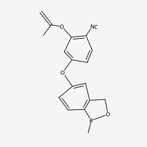 [C-]#[N+]c1ccc(Oc2ccc3c(c2)COB3C)cc1OC(=C)C